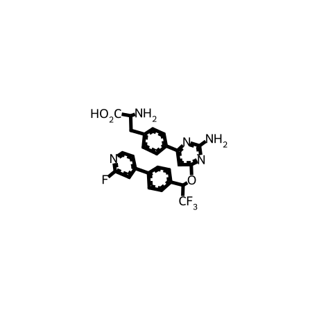 Nc1nc(OC(c2ccc(-c3ccnc(F)c3)cc2)C(F)(F)F)cc(-c2ccc(CC(N)C(=O)O)cc2)n1